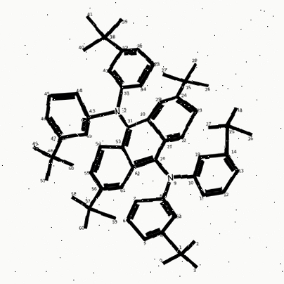 CC(C)(C)c1cccc(N(c2cccc(C(C)(C)C)c2)c2c3ccc(C(C)(C)C)cc3c(N(c3cccc(C(C)(C)C)c3)c3cccc(C(C)(C)C)c3)c3ccc(C(C)(C)C)cc23)c1